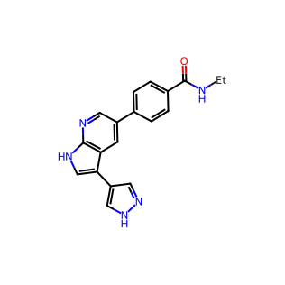 CCNC(=O)c1ccc(-c2cnc3[nH]cc(-c4cn[nH]c4)c3c2)cc1